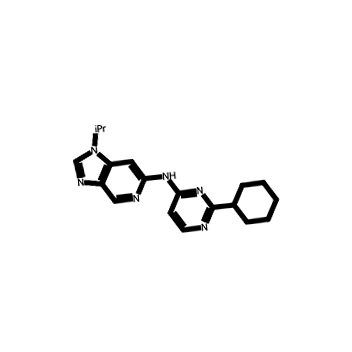 CC(C)n1cnc2cnc(Nc3ccnc(C4CCCCC4)n3)cc21